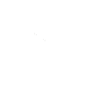 c1ccc(-c2ccc(-c3nc(-c4cccc5c4oc4ccc6c(c45)-c4cccc5cccc-6c45)nc4ccccc34)cc2)cc1